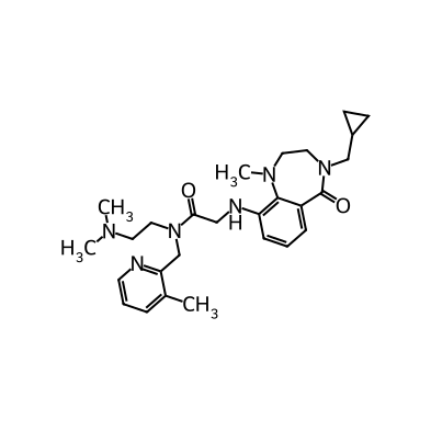 Cc1cccnc1CN(CCN(C)C)C(=O)CNc1cccc2c1N(C)CCN(CC1CC1)C2=O